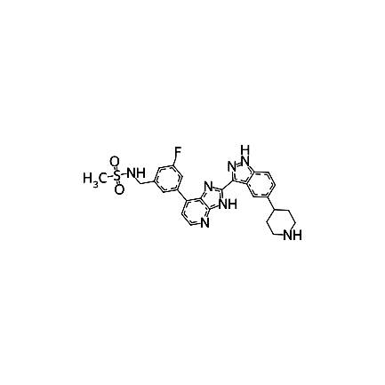 CS(=O)(=O)NCc1cc(F)cc(-c2ccnc3[nH]c(-c4n[nH]c5ccc(C6CCNCC6)cc45)nc23)c1